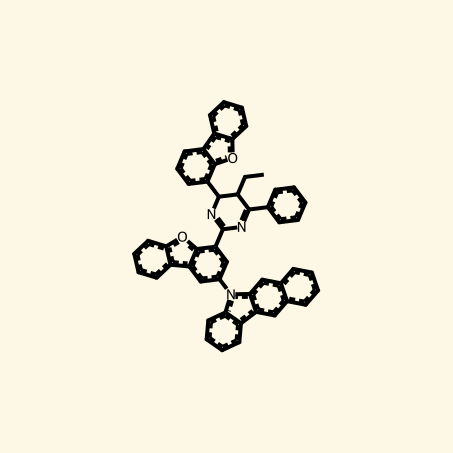 CCC1C(c2ccccc2)=NC(c2cc(-n3c4ccccc4c4cc5ccccc5cc43)cc3c2oc2ccccc23)=NC1c1cccc2c1oc1ccccc12